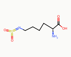 N[C@@H](CCCCN=S(=O)=O)C(=O)O